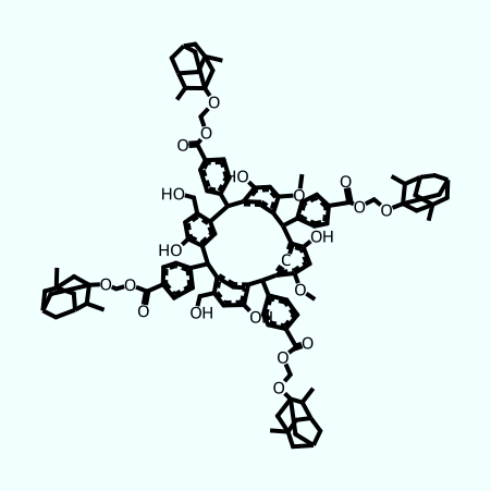 COc1cc(O)c2cc1C(c1ccc(C(=O)OCOC34CC5CC(CC(C)(C5)C3)C4C)cc1)c1cc(c(OC)cc1O)C(c1ccc(C(=O)OCOC34CC5CC(CC(C)(C5)C3)C4C)cc1)c1cc(c(CO)cc1O)C(c1ccc(C(=O)OCOC34CC5CC(CC(C)(C5)C3)C4C)cc1)c1cc(c(CO)cc1O)C2c1ccc(C(=O)OCOC23CC4CC(CC(C)(C4)C2)C3C)cc1